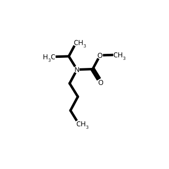 CCCCN(C(=O)OC)C(C)C